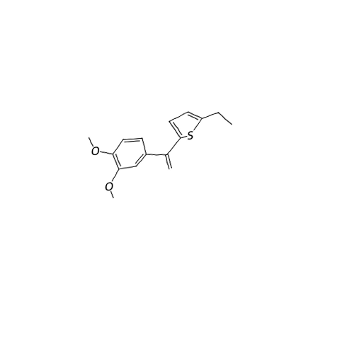 C=C(c1ccc(OC)c(OC)c1)c1ccc(CC)s1